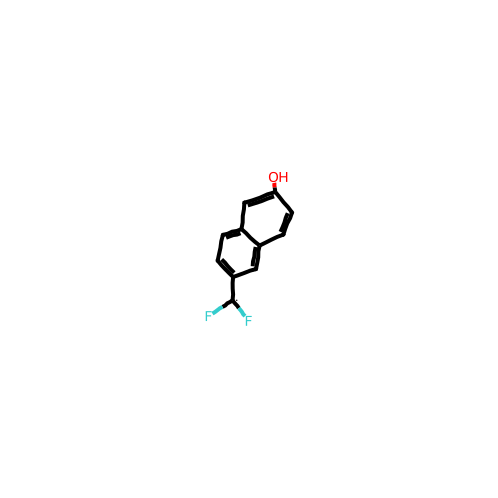 Oc1ccc2cc([C](F)F)ccc2c1